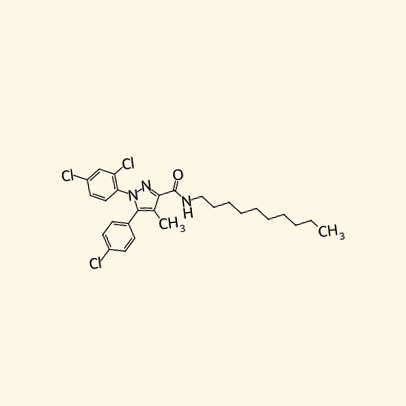 CCCCCCCCCCNC(=O)c1nn(-c2ccc(Cl)cc2Cl)c(-c2ccc(Cl)cc2)c1C